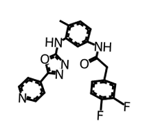 Cc1ccc(NC(=O)Cc2ccc(F)c(F)c2)cc1Nc1nnc(-c2ccncc2)o1